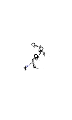 CN(C)C(=O)/C=C/CC[C@H](OC(=O)N(C)C)C(=O)Nc1cccn(Cc2nc3c(OCc4ccc(F)cc4F)c(F)c(F)cc3n2C(=O)OC(C)(C)C)c1=O